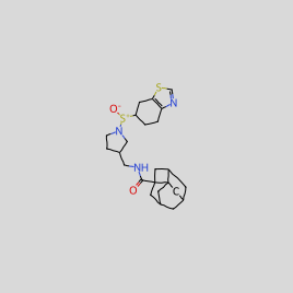 O=C(NCC1CCN([S+]([O-])C2CCc3ncsc3C2)C1)C12CC3CC4CC(C1)C2(C4)C3